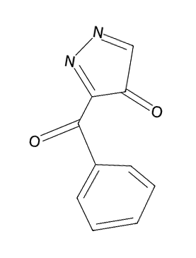 O=C1C=NN=C1C(=O)c1ccccc1